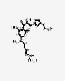 CC(=Cc1ccc(CCC(C)C)s1)C(=O)c1c(O)cc(C(C)CCC=CNC(=O)O)oc1=O